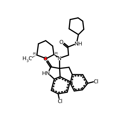 C[C@@H]1CCC[C@@H](N(CC(=O)NC2CCCCC2)C2(Cc3cccc(Cl)c3)C(=O)Nc3cc(Cl)ccc32)C1